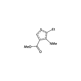 CCc1scc(C(=O)OC)c1NC